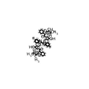 CN[C@H](C)C(=O)N[C@@H](C(=O)N1CC(O)C[C@H]1Cn1c(-c2nc3cc(F)ccc3n2C[C@@H]2CC(O)CN2C(=O)[C@H](NC(=O)[C@@H](C)NC)C2CCCCC2)nc2cc(F)ccc21)C1CCCCC1